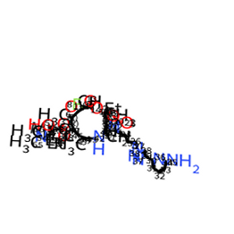 CCO[C@@H](O[C@@H]1[C@@H](C)C(=O)C(C)(F)C(=O)O[C@H](CC)[C@@]2(C)OC(=O)N(CCCCn3cc(-c4cccc(N)n4)nn3)[C@@H]2[C@@H](C)NC[C@H](C)C[C@@]1(C)OC)C(O)C(CC)N(C)C